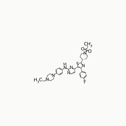 CCN1CCN(c2ccc(Nc3nccc(-c4sc(C5CCN(S(=O)(=O)CC)CC5)nc4-c4ccc(F)cc4)n3)cc2)CC1